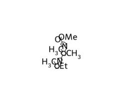 CCc1cccc(C)c1N1CC(c2cc(C)c(CN3CCC(C(=O)OC)CC3)c(C)c2)C1